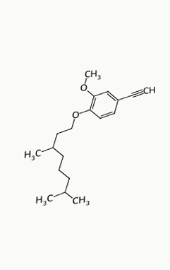 C#Cc1ccc(OCCC(C)CCCC(C)C)c(OC)c1